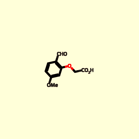 COc1ccc(C=O)c(OCC(=O)O)c1